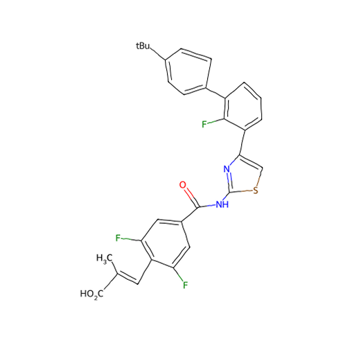 C/C(=C\c1c(F)cc(C(=O)Nc2nc(-c3cccc(-c4ccc(C(C)(C)C)cc4)c3F)cs2)cc1F)C(=O)O